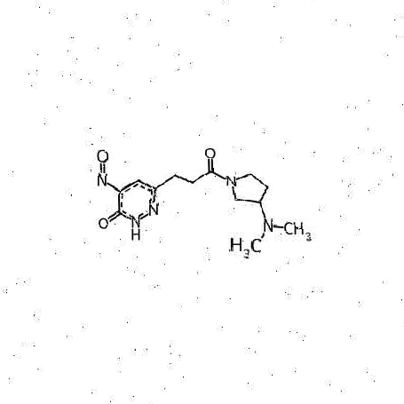 CN(C)C1CCN(C(=O)CCc2cc(N=O)c(=O)[nH]n2)C1